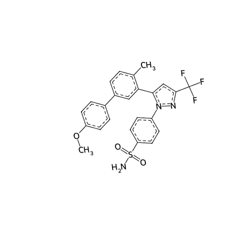 COc1ccc(-c2ccc(C)c(-c3cc(C(F)(F)F)nn3-c3ccc(S(N)(=O)=O)cc3)c2)cc1